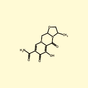 CC1COC2Cn3cc(C(N)=O)c(=O)c(O)c3C(=O)N12